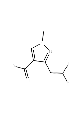 Cn1cc(C(=O)O)c(CC(F)F)n1